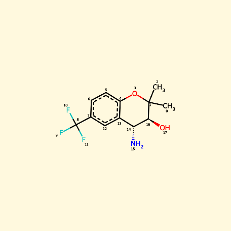 CC1(C)Oc2ccc(C(F)(F)F)cc2[C@@H](N)[C@@H]1O